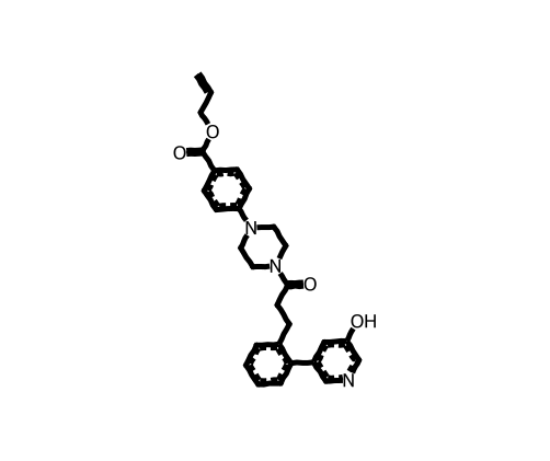 C=CCOC(=O)c1ccc(N2CCN(C(=O)CCc3ccccc3-c3cncc(O)c3)CC2)cc1